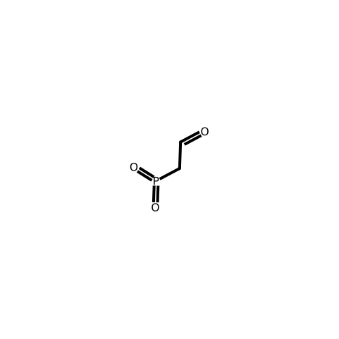 O=CCP(=O)=O